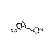 O=[N+]([O-])c1ccc2ccn(CCCN3CCNCC3)c2c1